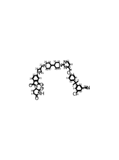 CC(C)(c1ccc(OCc2ccnc(N3CCC(C4CCN(CC5CN(c6ccc7c(c6)C(=O)N(C6CCC(=O)NC6=O)C7=O)C5)CC4)CC3)n2)cc1)c1cc(Cl)cc(C#N)c1